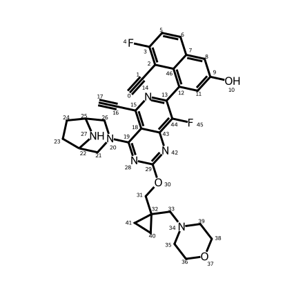 C#Cc1c(F)ccc2cc(O)cc(-c3nc(C#C)c4c(N5CC6CCC(C5)N6)nc(OCC5(CN6CCOCC6)CC5)nc4c3F)c12